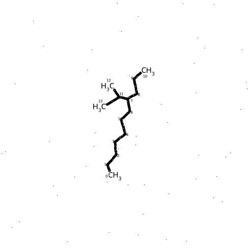 CCCCCCCC(CCC)C(C)C